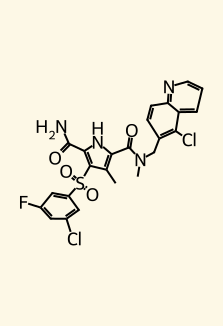 Cc1c(C(=O)N(C)Cc2ccc3ncccc3c2Cl)[nH]c(C(N)=O)c1S(=O)(=O)c1cc(F)cc(Cl)c1